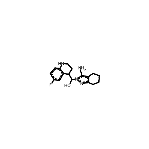 Nc1c2c(nn1C(O)C1CCNc3ccc(F)cc31)CCCC2